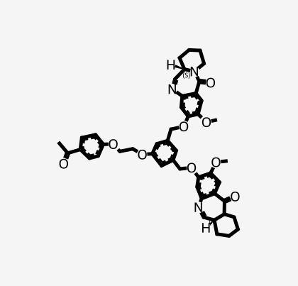 COc1cc2c(cc1OCc1cc(COc3cc4c(cc3OC)C(=O)N3CCCC[C@H]3C=N4)cc(OCCOc3ccc(C(C)=O)cc3)c1)N=C[C@@H]1CCCCC1C2=O